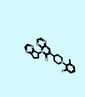 Cc1cccc(F)c1N1CCC(c2cc3nccnc3n(C3CCc4nccnc43)c2=O)CC1